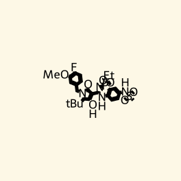 CCO[P@@]1(=O)N=C(C2=C(O)C(C(C)(C)C)N(Cc3ccc(F)c(OC)c3)C2=O)Nc2ccc(NS(C)(=O)=O)cc21